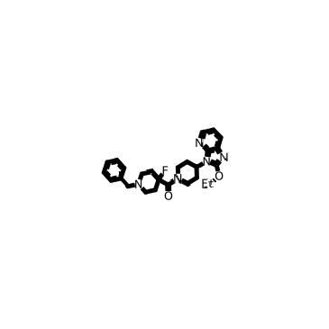 CCOc1nc2cccnc2n1C1CCN(C(=O)C2(F)CCN(Cc3ccccc3)CC2)CC1